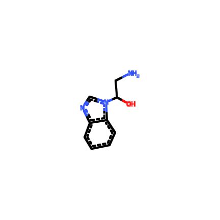 NCC(O)n1cnc2ccccc21